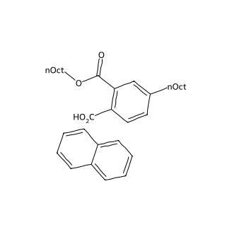 CCCCCCCCOC(=O)c1cc(CCCCCCCC)ccc1C(=O)O.c1ccc2ccccc2c1